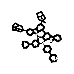 CC1C2CCC1CC(C)(c1cc3c4c(c1)c1cc(C56CC7CC(CC(C7)C5)C6)ccc1n4B1c4cc(-c5ccccc5)ccc4N(c4ccc(-c5ccccc5)cc4)c4c1c-3cc1c4oc3ccccc31)C2